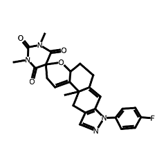 CN1C(=O)N(C)C(=O)C2(CC=C3C(CCC4=Cc5c(cnn5-c5ccc(F)cc5)CC43C)O2)C1=O